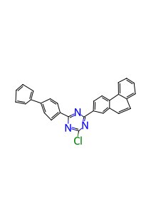 Clc1nc(-c2ccc(-c3ccccc3)cc2)nc(-c2ccc3c(ccc4ccccc43)c2)n1